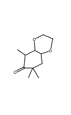 CC1C(=O)C(C)(C)CC2OCCOC21